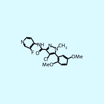 COc1ccc(OC)c(-c2c(Cl)c(C(=O)Nc3ccncc3F)nn2C)c1